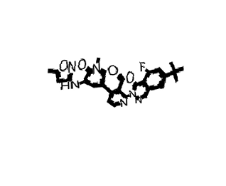 Cc1cc(Nc2cc(-c3ccnc(-n4ncc5cc(C(C)(C)C)cc(F)c5c4=O)c3C=O)cn(C)c2=O)no1